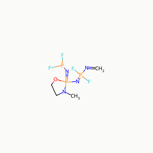 C=NP(F)(F)=NP1(=NP(F)F)OCCN1C